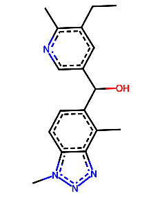 CCc1cc(C(O)c2ccc3c(nnn3C)c2C)cnc1C